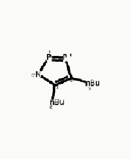 CCCCC1=C(CCCC)P=P[N]1